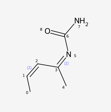 C/C=C\C(C)=N/C(N)=O